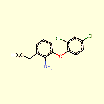 Nc1c(CC(=O)O)cccc1Oc1ccc(Cl)cc1Cl